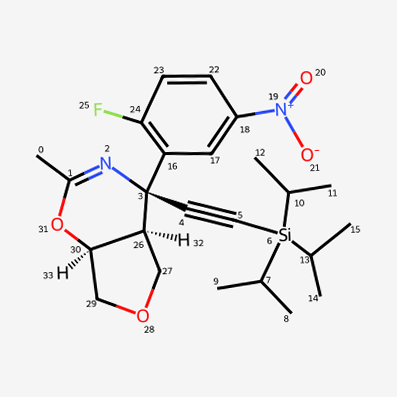 CC1=N[C@](C#C[Si](C(C)C)(C(C)C)C(C)C)(c2cc([N+](=O)[O-])ccc2F)[C@H]2COC[C@H]2O1